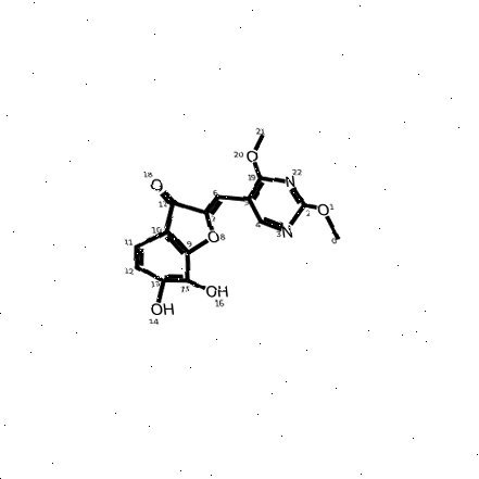 COc1ncc(C=C2Oc3c(ccc(O)c3O)C2=O)c(OC)n1